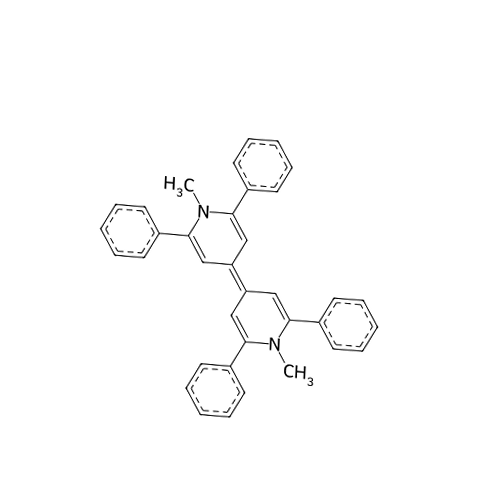 CN1C(c2ccccc2)=CC(=C2C=C(c3ccccc3)N(C)C(c3ccccc3)=C2)C=C1c1ccccc1